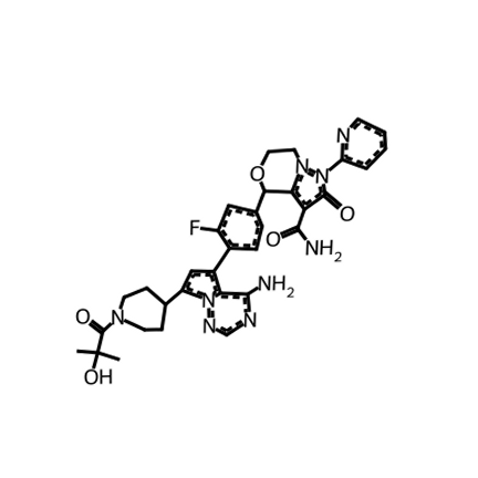 CC(C)(O)C(=O)N1CCC(c2cc(-c3ccc(C4OCCn5c4c(C(N)=O)c(=O)n5-c4ccccn4)cc3F)c3c(N)ncnn23)CC1